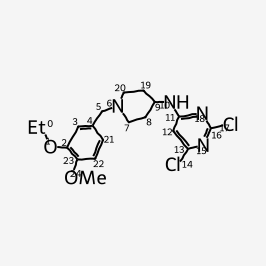 CCOc1cc(CN2CCC(Nc3cc(Cl)nc(Cl)n3)CC2)ccc1OC